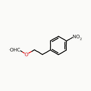 O=[C]OCCc1ccc([N+](=O)[O-])cc1